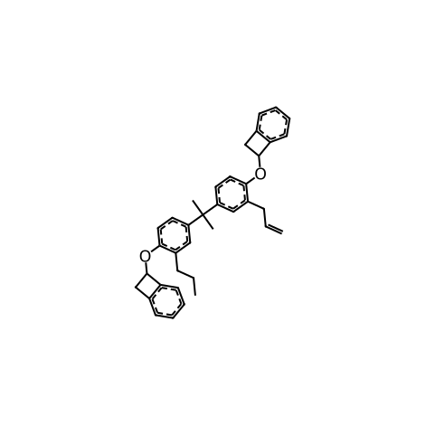 C=CCc1cc(C(C)(C)c2ccc(OC3Cc4ccccc43)c(CCC)c2)ccc1OC1Cc2ccccc21